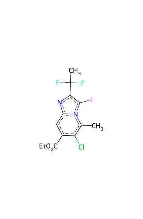 CCOC(=O)c1cc2nc(C(C)(F)F)c(I)n2c(C)c1Cl